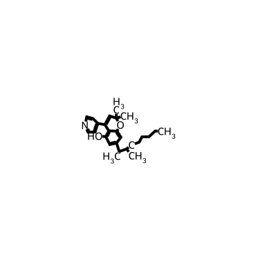 CCCCCCC(C)C(C)c1cc(O)c2c(c1)OC(C)(C)C=C2c1ccncc1